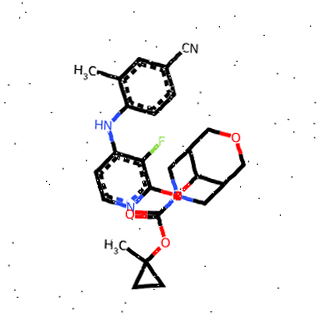 Cc1cc(C#N)ccc1Nc1ccnc(OC2C3COCC2CN(C(=O)OC2(C)CC2)C3)c1F